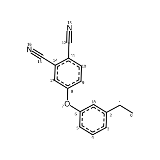 CCc1cccc(Oc2ccc(C#N)c(C#N)c2)c1